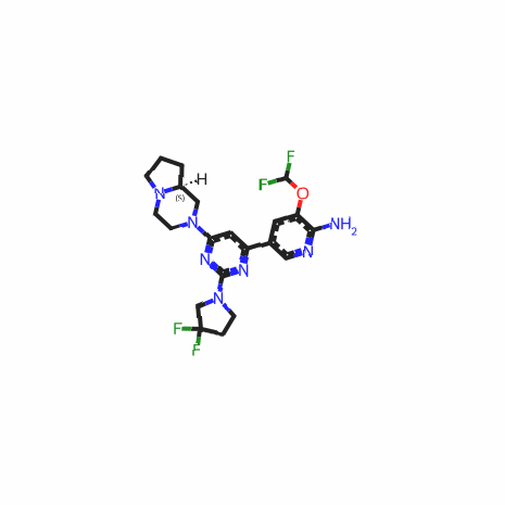 Nc1ncc(-c2cc(N3CCN4CCC[C@H]4C3)nc(N3CCC(F)(F)C3)n2)cc1OC(F)F